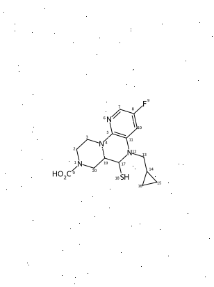 O=C(O)N1CCN2c3ncc(F)cc3N(CC3CC3)C(S)C2C1